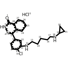 Cl.O=c1[nH]nc(-c2ccc(Cl)c(NCCCCCNC3CC3)c2)c2ccccc12